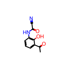 CC(=O)c1cccc(NC(=O)C#N)c1O